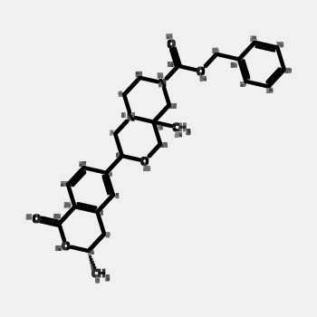 C[C@H]1Cc2cc(C3CN4CCN(C(=O)OCc5ccccc5)CC4(C)CO3)ccc2C(=O)O1